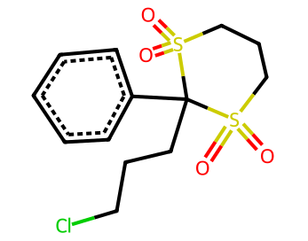 O=S1(=O)CCCS(=O)(=O)C1(CCCCl)c1ccccc1